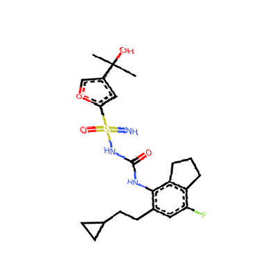 CC(C)(O)c1coc(S(=N)(=O)NC(=O)Nc2c(CCC3CC3)cc(F)c3c2CCC3)c1